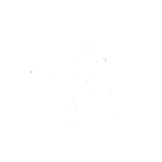 CC(C)CNCCn1c(Cc2cc3c(cc2-c2cc[nH]n2)OCCO3)nc2c(N)nc(F)nc21